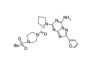 CCC(C)S(=O)(=O)N1CCN(C(=O)[C@@H]2CCCN2c2nc(N)n3nc(-c4ccco4)nc3n2)CC1